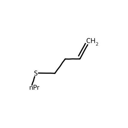 C=CCCSCCC